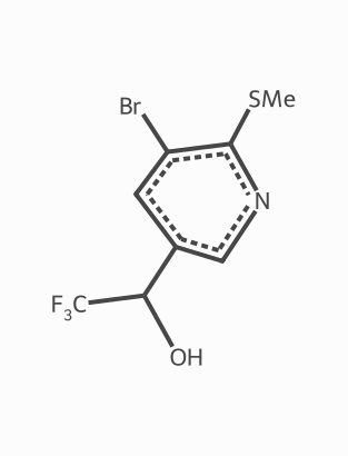 CSc1ncc(C(O)C(F)(F)F)cc1Br